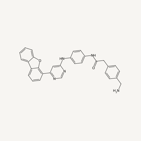 NCc1ccc(CC(=O)Nc2ccc(Nc3cc(-c4cccc5c4oc4ccccc45)ncn3)cc2)cc1